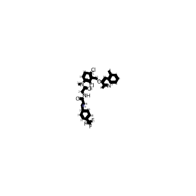 Cc1nc2cccc(C)c2cc1OCc1c(Cl)ccc(N(C)C(=O)CNC(=O)/C=C/c2ccc(C(F)(F)F)cc2)c1Cl